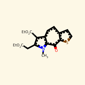 CCOC(=O)Cc1c(C(=O)OCC)c2ccc3ccsc3c(=O)c2n1C